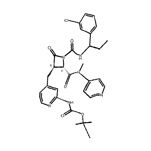 CCC(NC(=O)N1C(=O)[C@H](Cc2ccnc(NC(=O)OC(C)(C)C)c2)[C@H]1C(=O)N(C)c1ccncc1)c1cccc(Cl)c1